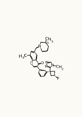 Cc1cc(CN2CCC[C@H](C)C2)cc2c(=O)c(-c3cccc([C@]4(c5nncn5C)C[C@H](F)C4)c3)coc12